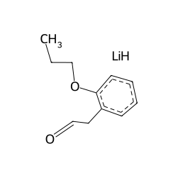 CCCOc1ccccc1CC=O.[LiH]